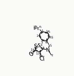 CC(C)c1ccc(CN(C)c2ssc(=O)c2Cl)cc1